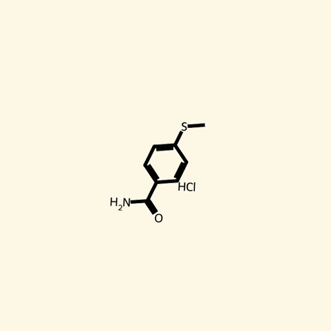 CSc1ccc(C(N)=O)cc1.Cl